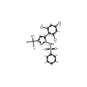 O=S(=O)(Nn1nc(C(F)(F)F)cc1-c1c(Cl)cc(Cl)cc1Cl)c1ccccc1